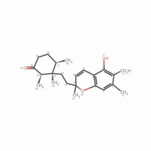 Cc1cc2c(c(O)c1C(=O)O)C=CC(C)(CC[C@@]1(C)[C@H](C)CCC(=O)[C@@H]1C)O2